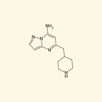 Nc1cc(CC2CCNCC2)nc2ccnn12